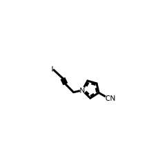 N#Cc1ccn(CC#CI)c1